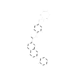 C[N+]1(Cc2ccc(NC(=O)c3ccc4ccc(-c5ccccc5)cc4c3)cc2)CCCCC1